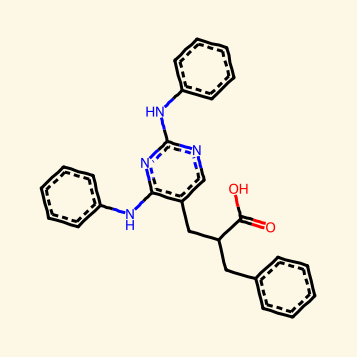 O=C(O)C(Cc1ccccc1)Cc1cnc(Nc2ccccc2)nc1Nc1ccccc1